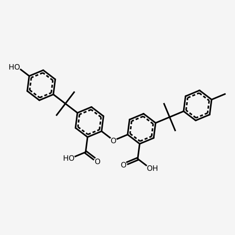 Cc1ccc(C(C)(C)c2ccc(Oc3ccc(C(C)(C)c4ccc(O)cc4)cc3C(=O)O)c(C(=O)O)c2)cc1